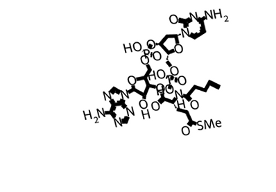 C=CCCC(=O)N[C@H](CCC(=O)SC)C(=O)OC1C(COP(=O)(O)O[C@H]2C[C@H](n3ccc(N)nc3=O)O[C@@H]2COP(=O)(O)O)OC(n2cnc3c(N)ncnc32)C1O